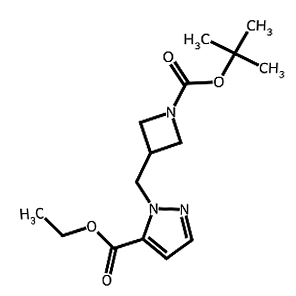 CCOC(=O)c1ccnn1CC1CN(C(=O)OC(C)(C)C)C1